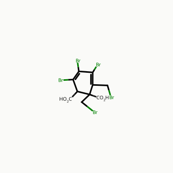 O=C(O)C1C(Br)=C(Br)C(Br)=C(CBr)C1(CBr)C(=O)O